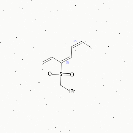 C=C/C(=C\C=C/C)S(=O)(=O)CC(C)C